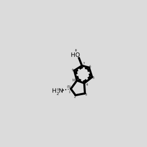 N[C@H]1CCc2ccc(O)cc21